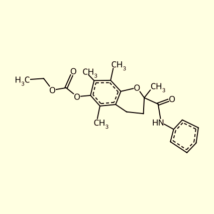 CCOC(=O)Oc1c(C)c(C)c2c(c1C)CCC(C)(C(=O)Nc1ccccc1)O2